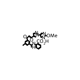 COc1ncc(-n2cc(-c3cc(=O)c4cc(C)cc(C(C)Nc5ccccc5C(=O)O)c4o3)cn2)cn1